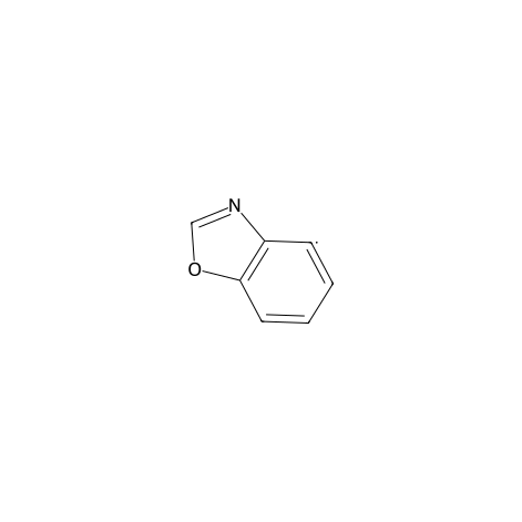 [c]1cccc2ocnc12